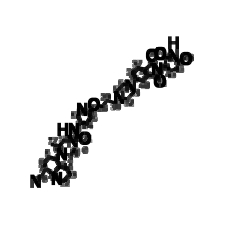 C[C@@H]1CN(c2ccc(C#N)c3ncccc23)[C@@H](C)CN1C(=O)Nc1ccc(OCCCN2CCN(c3ccc4c(c3)C(=O)N([C@@H]3CCC(=O)NC3=O)C4=O)CC2)nc1